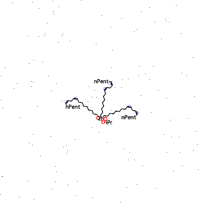 CCCCC/C=C\C/C=C\CCCCCCCC[O][Zr](=[O])([CH2]CCCCCCC/C=C\C/C=C\CCCCC)([CH2]CCCCCCC/C=C\C/C=C\CCCCC)[O]C(C)C